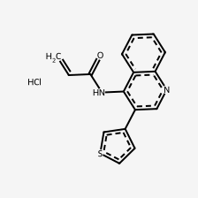 C=CC(=O)Nc1c(-c2ccsc2)cnc2ccccc12.Cl